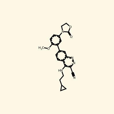 COc1ccc(N2CCOC2=O)cc1-c1ccc2c(NCCC3CC3)c(C#N)nnc2c1